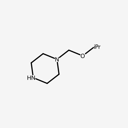 CC(C)OCN1CCNCC1